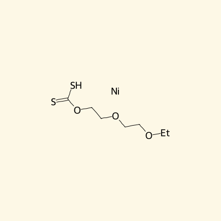 CCOCCOCCOC(=S)S.[Ni]